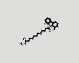 C=C1C=CC=C2c3ccccc3N(C(=O)CCCCCCCCCCC(N)=O)C12